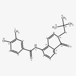 Cc1cc(C(=O)Nc2cccc3c(=O)n(CC(C)(C)C)ccc23)ccc1Cl